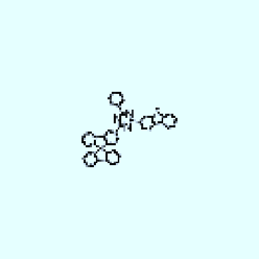 c1ccc(-c2nc(-c3ccc4c(c3)-c3ccccc3C43c4ccccc4-c4ccccc43)nc(-c3ccc4c(c3)sc3ccccc34)n2)cc1